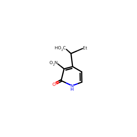 CCC(C(=O)O)c1cc[nH]c(=O)c1[N+](=O)[O-]